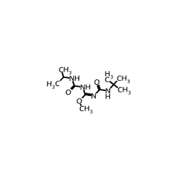 COC(=NC(=O)NC(C)(C)C)NC(=O)NC(C)C